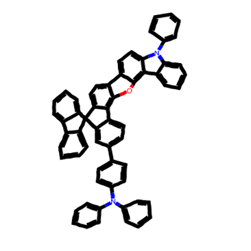 c1ccc(N(c2ccccc2)c2ccc(-c3ccc4c(c3)C3(c5ccccc5-c5ccccc53)c3ccc5c(oc6c5ccc5c6c6ccccc6n5-c5ccccc5)c3-4)cc2)cc1